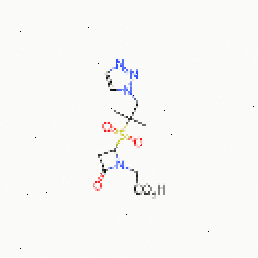 CC(C)(Cn1ccnn1)S(=O)(=O)[C@@H]1CC(=O)N1CC(=O)O